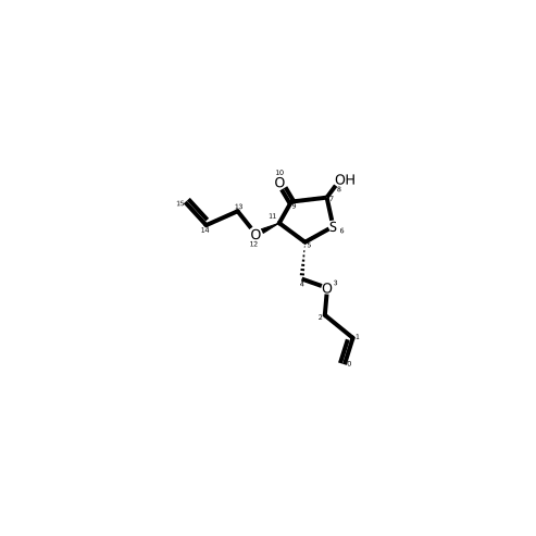 C=CCOC[C@H]1SC(O)C(=O)[C@@H]1OCC=C